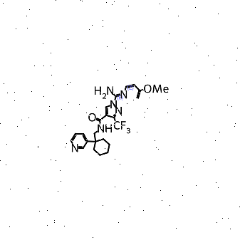 C=C(/C=C\N=C(/N)n1cc(C(=O)NCC2(c3cccnc3)CCCCC2)c(C(F)(F)F)n1)OC